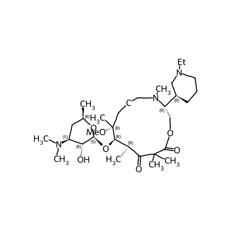 CCN1CCC[C@@H]([C@@H]2COC(=O)C(C)(C)C(=O)[C@H](C)[C@@H](O[C@@H]3O[C@H](C)C[C@H](N(C)C)[C@H]3O)[C@](C)(OC)CCCN2C)C1